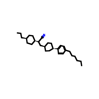 CCCCCCc1ccc([C@H]2CC[C@H](CC(C#N)[C@H]3CC[C@H](CCC)CC3)CC2)cc1